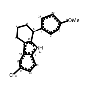 COc1ccc([C@@H]2CCCc3c2[nH]c2ccc(Cl)cc32)cc1